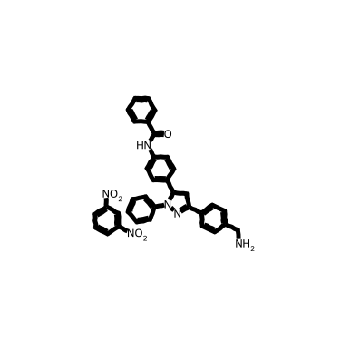 NCc1ccc(C2=NN(c3ccccc3)C(c3ccc(NC(=O)c4ccccc4)cc3)C2)cc1.O=[N+]([O-])c1cccc([N+](=O)[O-])c1